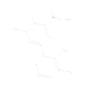 COC(=O)c1nc(-c2cc(C)cc([N+](=O)[O-])c2N)cc(N)c1Cl